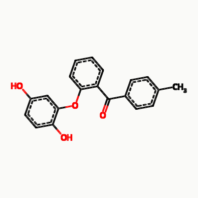 Cc1ccc(C(=O)c2ccccc2Oc2cc(O)ccc2O)cc1